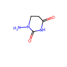 NN1CCC(=O)NC1=O